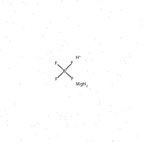 F[B-](F)(F)F.[H+].[MgH2]